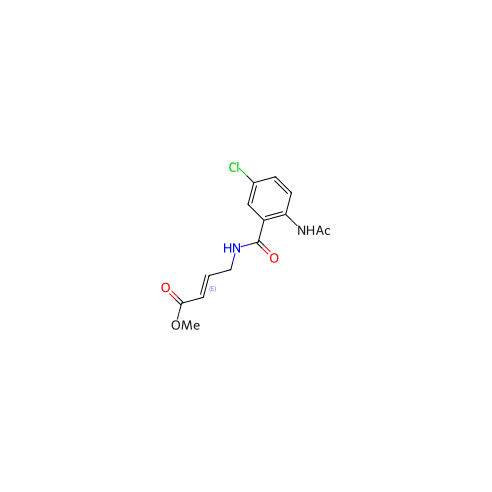 COC(=O)/C=C/CNC(=O)c1cc(Cl)ccc1NC(C)=O